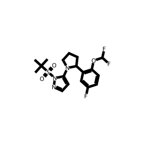 CC(C)(C)S(=O)(=O)n1nccc1N1CCCC1c1cc(F)ccc1OC(F)F